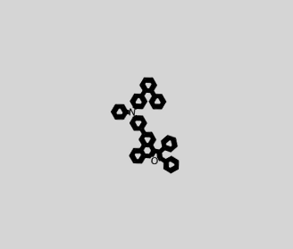 c1ccc(-c2ccccc2-c2ccc(N(c3ccccc3)c3ccc(-c4ccc5c(c4)c4ccccc4c4oc(-c6ccccc6)c(-c6ccccc6)c54)cc3)cc2)cc1